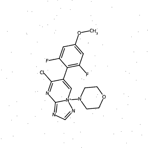 COc1cc(F)c(C2=C[N+]3(N4CCOCC4)N=CN=C3N=C2Cl)c(F)c1